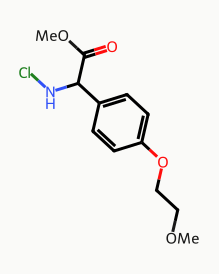 COCCOc1ccc(C(NCl)C(=O)OC)cc1